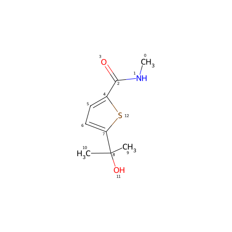 CNC(=O)c1ccc(C(C)(C)O)s1